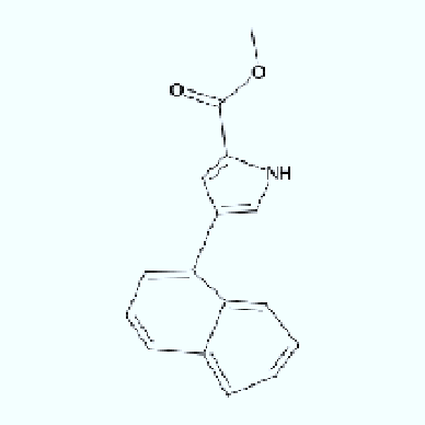 COC(=O)c1cc(-c2cccc3ccccc23)c[nH]1